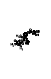 CC[n+]1c(CNC(=O)c2nc(Cl)c(N)nc2N)n(C[C@@H]2CCCO2)c2cc(OCC(=O)N3C[C@@H](O)[C@H](O)C3)ccc21